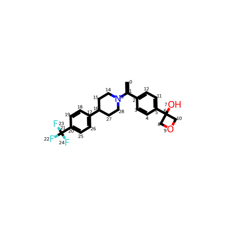 C=C(c1ccc(C2(O)COC2)cc1)N1CCC(c2ccc(C(F)(F)F)cc2)CC1